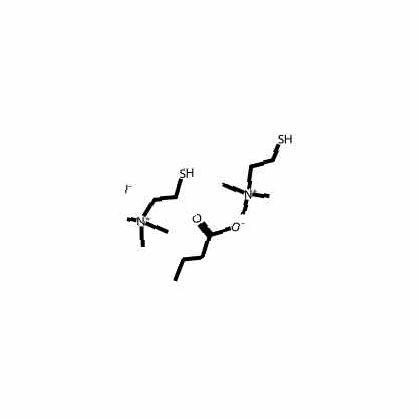 CCCC(=O)[O-].C[N+](C)(C)CCS.C[N+](C)(C)CCS.[I-]